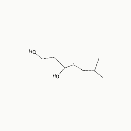 CC(C)C[CH]C(O)CCO